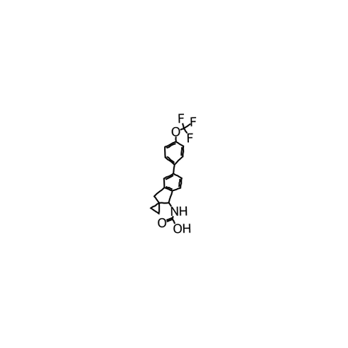 O=C(O)NC1c2ccc(-c3ccc(OC(F)(F)F)cc3)cc2CC12CC2